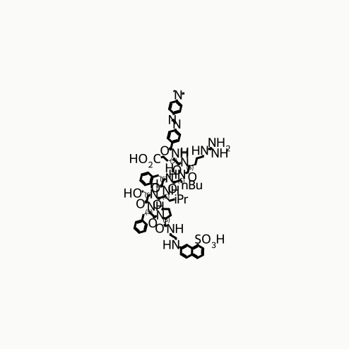 CCCC[C@H](NC(=O)[C@H](CCCNC(=N)N)NC(=O)[C@H](CCC(=O)O)NC(=O)c1ccc(N=Nc2ccc(N(C)C)cc2)cc1)C(=O)N[C@@H](Cc1ccccc1)C(=O)N[C@@H](CC(C)C)C(=O)N[C@@H](CO)C(=O)N[C@@H](Cc1ccccc1)C(=O)N1CCC[C@H]1C(=O)NCCNc1ccc2cccc(S(=O)(=O)O)c2c1